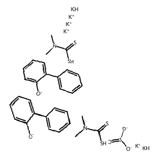 CN(C)C(=S)S.CN(C)C(=S)S.O=S([O-])[O-].[K+].[K+].[K+].[K+].[KH].[KH].[O-]c1ccccc1-c1ccccc1.[O-]c1ccccc1-c1ccccc1